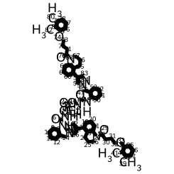 CCP(=O)(ONC(=O)Nc1ccccc1Cn1cc(-c2cccc3c2CCCN3C(=O)CCCOc2cccc(C)c2C)cn1)ONC(=O)Nc1ccccc1Cn1cc(-c2cccc3c2CCCN3C(=O)CCCOc2cccc(C)c2C)cn1